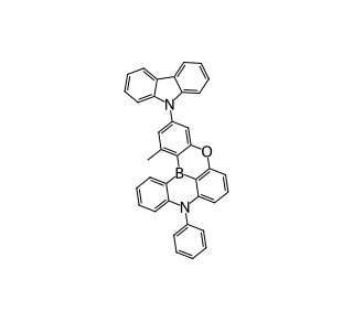 Cc1cc(-n2c3ccccc3c3ccccc32)cc2c1B1c3ccccc3N(c3ccccc3)c3cccc(c31)O2